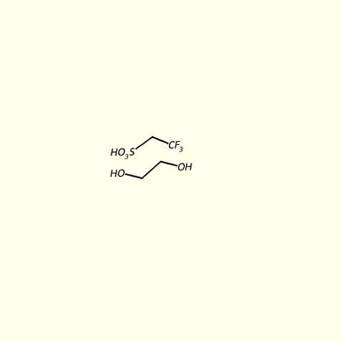 O=S(=O)(O)CC(F)(F)F.OCCO